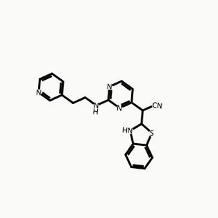 N#CC(c1ccnc(NCCc2cccnc2)n1)C1Nc2ccccc2S1